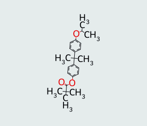 CC(C)Oc1ccc(C(C)(C)c2ccc(OC(=O)C(C)(C)C)cc2)cc1